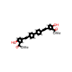 COC(=O)c1cc(C#Cc2ccc(-c3ccc(C#Cc4ccc(O)c(C(=O)OC)c4)cc3)cc2)ccc1O